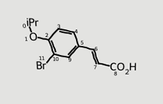 CC(C)Oc1ccc(/C=C/C(=O)O)cc1Br